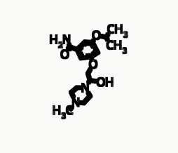 CC(C)Oc1cc(OCC(O)N2CCN(C)CC2)cc(C(N)=O)c1